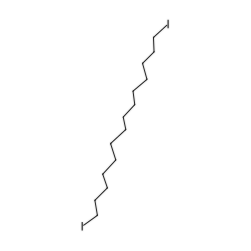 ICCCCCCCCCCCCCCI